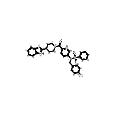 O=C(c1ccc(N(Cc2ccc(Cl)cc2)S(=O)(=O)c2ccccc2)cn1)N1CCC(c2nc3ccccc3[nH]2)CC1